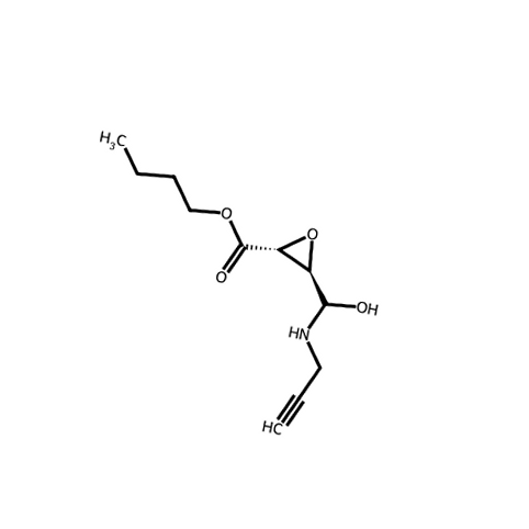 C#CCNC(O)[C@@H]1O[C@H]1C(=O)OCCCC